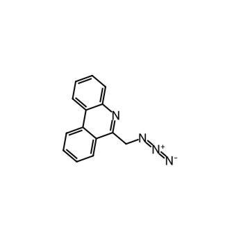 [N-]=[N+]=NCc1nc2ccccc2c2ccccc12